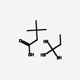 CC(C)(C)CC(=O)O.CCC(S)(S)S